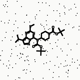 CSc1nc(N(C(=O)OC(C)(C)C)C2CCN(C(=O)OC(C)(C)C)CC2)n2ncc(C(C)C)c2n1